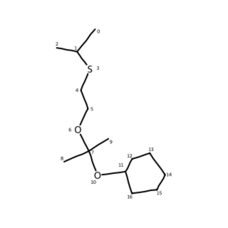 CC(C)SCCOC(C)(C)OC1CCCCC1